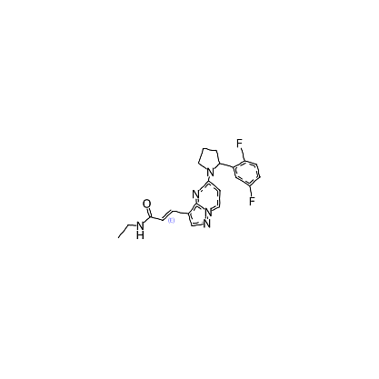 CCNC(=O)/C=C/c1cnn2ccc(N3CCCC3c3cc(F)ccc3F)nc12